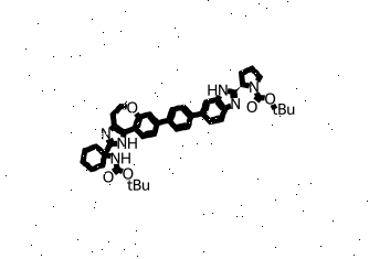 CC(C)(C)OC(=O)NC1(c2nc3c([nH]2)-c2ccc(-c4ccc(-c5ccc6nc([C@@H]7CCCN7C(=O)OC(C)(C)C)[nH]c6c5)cc4)cc2OCC3)CCCCC1